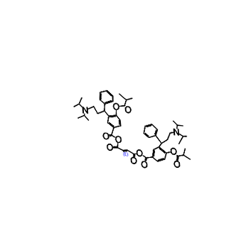 CC(C)C(=O)Oc1ccc(C(=O)OC(=O)/C=C/C(=O)OC(=O)c2ccc(OC(=O)C(C)C)c(C(CCN(C(C)C)C(C)C)c3ccccc3)c2)cc1C(CCN(C(C)C)C(C)C)c1ccccc1